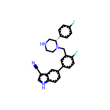 N#Cc1c[nH]c2ccc(-c3ccc(F)c(CN4CCNC[C@@H]4c4ccc(F)cc4)c3)cc12